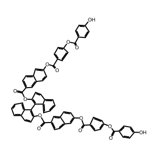 O=C(Oc1ccc(C(=O)Oc2ccc3cc(C(=O)Oc4ccc5ccccc5c4-c4c(OC(=O)c5ccc6cc(OC(=O)c7ccc(OC(=O)c8ccc(O)cc8)cc7)ccc6c5)ccc5ccccc45)ccc3c2)cc1)c1ccc(O)cc1